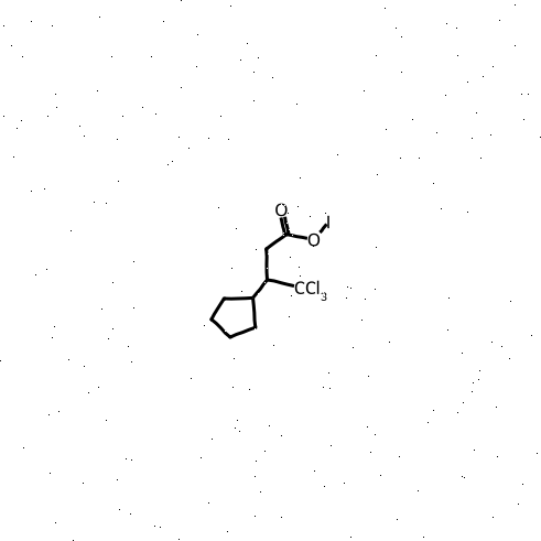 O=C(CC(C1CCCC1)C(Cl)(Cl)Cl)OI